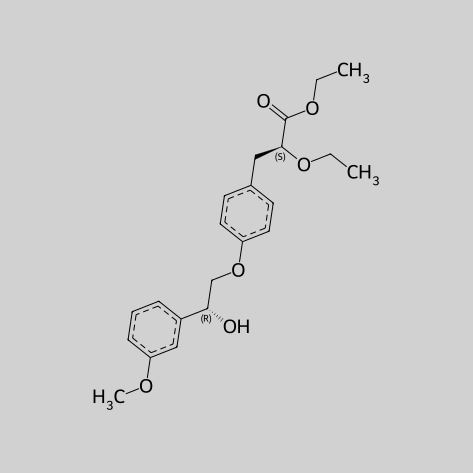 CCOC(=O)[C@H](Cc1ccc(OC[C@H](O)c2cccc(OC)c2)cc1)OCC